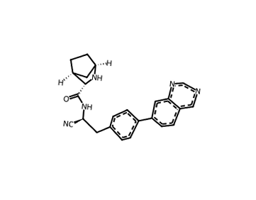 N#C[C@H](Cc1ccc(-c2ccc3cncnc3c2)cc1)NC(=O)[C@H]1N[C@@H]2CC[C@H]1C2